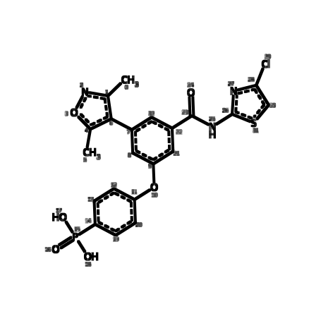 Cc1noc(C)c1-c1cc(Oc2ccc(P(=O)(O)O)cc2)cc(C(=O)Nc2nc(Cl)cs2)c1